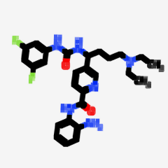 CCN(CC)CCCC(NC(=O)Nc1cc(F)cc(F)c1)c1ccc(C(=O)Nc2ccccc2N)nc1